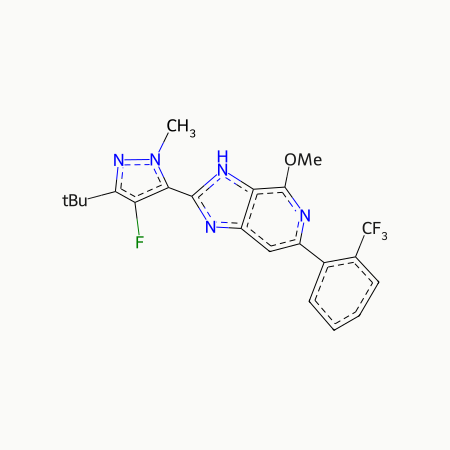 COc1nc(-c2ccccc2C(F)(F)F)cc2nc(-c3c(F)c(C(C)(C)C)nn3C)[nH]c12